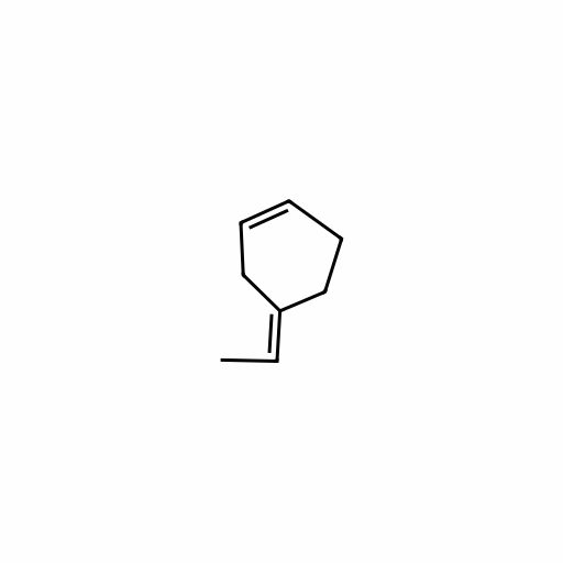 CC=C1CC=CCC1